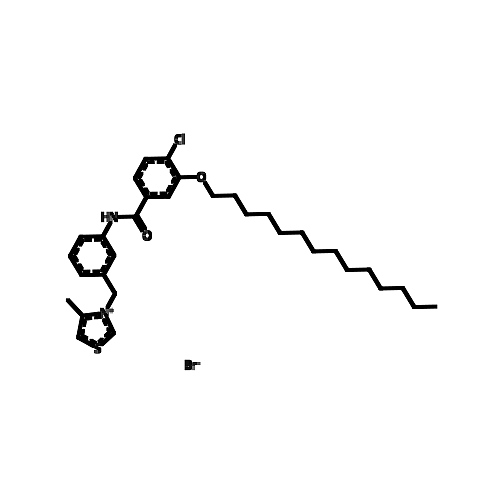 CCCCCCCCCCCCCCOc1cc(C(=O)Nc2cccc(C[n+]3cscc3C)c2)ccc1Cl.[Br-]